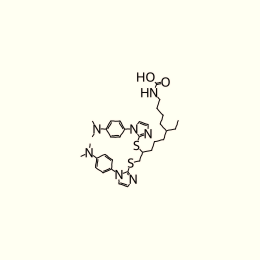 CCC(CCCCNC(=O)O)CCCC(CSc1nccn1-c1ccc(N(C)C)cc1)Sc1nccn1-c1ccc(N(C)C)cc1